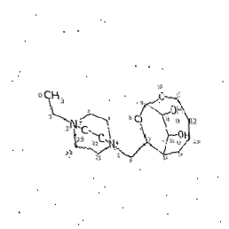 CC[N+]12CC[N+](CC3OC4OCCCCC3C(O)C4O)(CC1)CC2